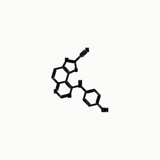 N#Cc1nc2ccc3ncnc(Nc4ccc(O)cc4)c3c2s1